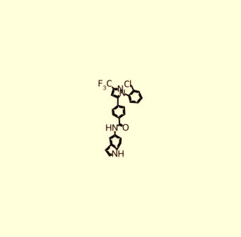 O=C(Nc1ccc2[nH]ccc2c1)c1ccc(-c2cc(C(F)(F)F)nn2-c2ccccc2Cl)cc1